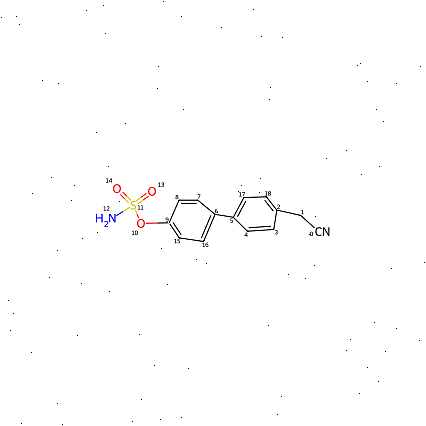 N#CCc1ccc(-c2ccc(OS(N)(=O)=O)cc2)cc1